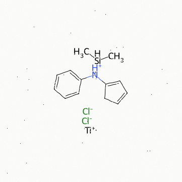 C[SiH](C)[NH+](C1=CC=CC1)c1ccccc1.[Cl-].[Cl-].[Ti+]